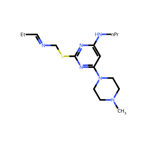 CC/C=N/CSc1nc(NCCC)cc(N2CCN(C)CC2)n1